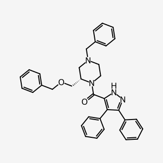 O=C(c1[nH]nc(-c2ccccc2)c1-c1ccccc1)N1CCN(Cc2ccccc2)C[C@H]1COCc1ccccc1